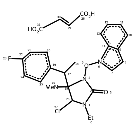 CCN1C(=O)N(On2ccc3ccccc32)C(NC)(C(C)c2ccc(F)cc2)C1Cl.O=C(O)C=CC(=O)O